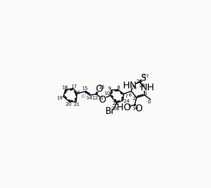 CC1=C(C(=O)O)C(c2ccc(OC(=O)/C=C/c3ccccc3)c(Br)c2)NC(=S)N1